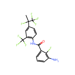 CC(F)(c1ccc(NC(=O)c2cccc(N)c2F)c(C(F)(F)F)c1)C(F)(F)F